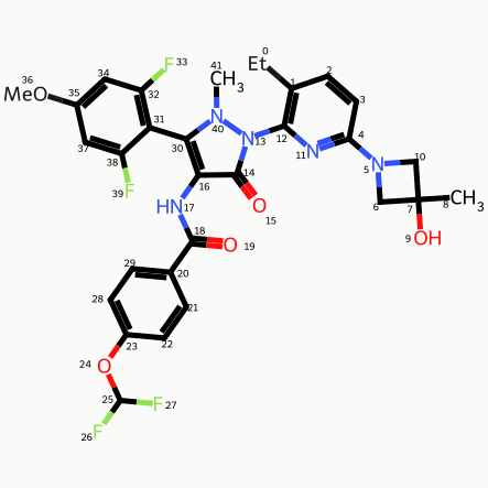 CCc1ccc(N2CC(C)(O)C2)nc1-n1c(=O)c(NC(=O)c2ccc(OC(F)F)cc2)c(-c2c(F)cc(OC)cc2F)n1C